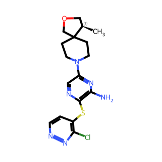 C[C@@H]1COCC12CCN(c1cnc(Sc3ccnnc3Cl)c(N)n1)CC2